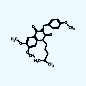 COc1ccc(Cn2c(=O)c3cc(OC)c(OC)cc3n(CCCN(C)C)c2=O)cc1